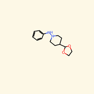 c1ccc(NN2CCC(C3OCCO3)CC2)cc1